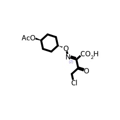 CC(=O)O[C@H]1CC[C@H](O/N=C(\C(=O)O)C(=O)CCl)CC1